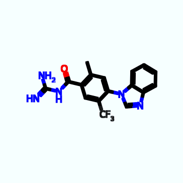 Cc1cc(-n2cnc3ccccc32)c(C(F)(F)F)cc1C(=O)NC(=N)N